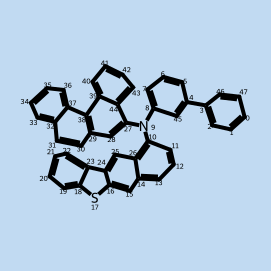 c1ccc(-c2cccc(N(c3cccc4cc5sc6ccccc6c5cc34)c3cc4ccc5ccccc5c4c4ccccc34)c2)cc1